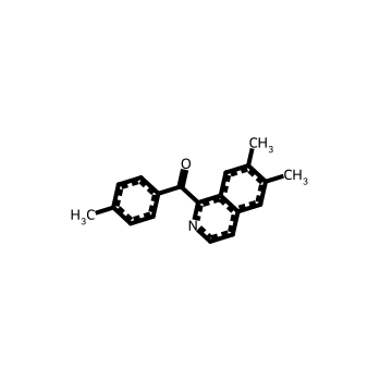 Cc1ccc(C(=O)c2nccc3cc(C)c(C)cc23)cc1